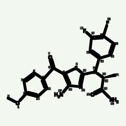 COc1ccc(C(=O)c2sc(N(c3ccc(F)c(F)c3)[C@@H](C)C(N)=O)nc2N)cc1